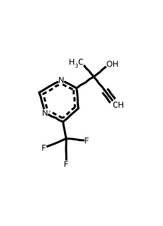 C#CC(C)(O)c1cc(C(F)(F)F)ncn1